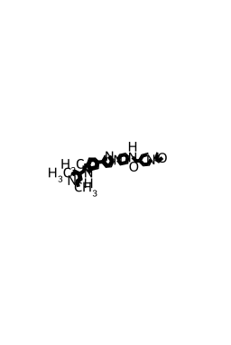 Cc1cc(-c2[nH]c3cc(-c4ccc(N5CCC(NC(=O)C6CCN(C7COC7)CC6)CC5)nc4)ccc3c2C)cc(C)n1